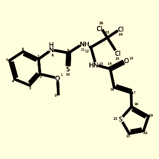 COc1ccccc1NC(=S)NC(NC(=O)/C=C/c1cccs1)C(Cl)(Cl)Cl